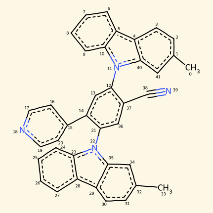 Cc1ccc2c3ccccc3n(-c3cc(-c4ccncc4)c(-n4c5ccccc5c5ccc(C)cc54)cc3C#N)c2c1